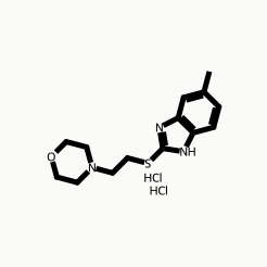 Cc1ccc2[nH]c(SCCN3CCOCC3)nc2c1.Cl.Cl